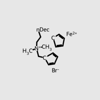 CCCCCCCCCCCC[N+](C)(C)C[c-]1cccc1.[Br-].[Fe+2].c1cc[cH-]c1